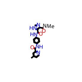 CNC(=O)c1nc[nH]c1C(=O)Nc1ccc(NC(=O)c2cc(C)ccn2)cc1